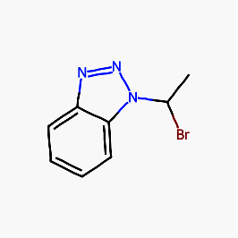 CC(Br)n1nnc2ccccc21